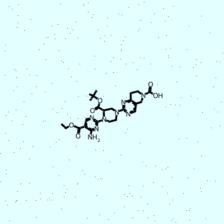 CCOC(=O)c1cnc(N2CCN(c3ncc4c(n3)CCN(C(=O)O)C4)CC2C(=O)OC(C)(C)C)nc1N